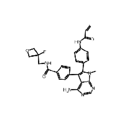 C=CC(=O)Nc1ccc(-c2c(-c3ccc(C(=O)NCC4(F)COC4)cc3)c3c(N)ncnc3n2C)cc1